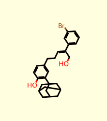 OCC(=CCCc1ccc(O)c(C23CC4CC(CC(C4)C2)C3)c1)c1cccc(Br)c1